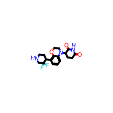 O=C1CCC(N2CCOc3c(C4CCNCC4(F)F)cccc32)C(=O)N1